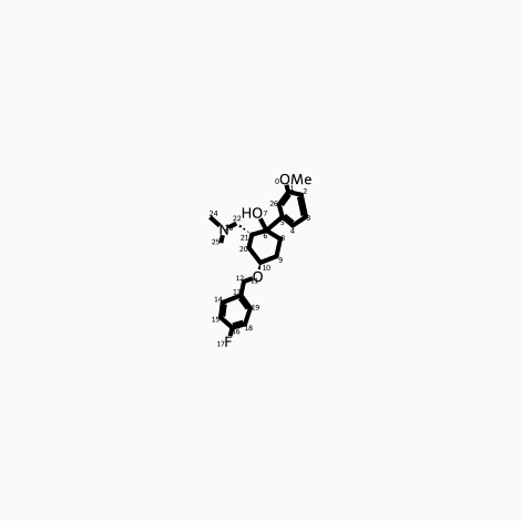 COc1cccc(C2(O)CC[C@H](OCc3ccc(F)cc3)C[C@@H]2CN(C)C)c1